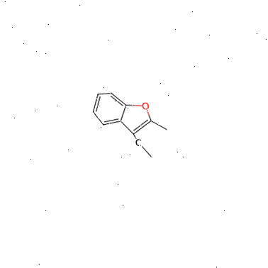 CCc1c(C)oc2ccccc12